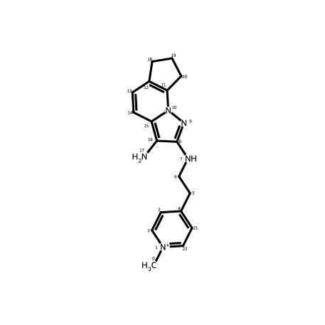 C[n+]1ccc(CCNc2nn3c4c(ccc3c2N)CCC4)cc1